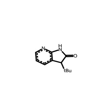 CC(C)(C)C1C(=O)Nc2ncccc21